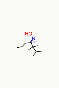 CCC/C(=N\O)C(C)(C)C(C)C